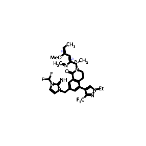 C=N/C(=C\C(=C/C)OC)[C@H](C)N1CCc2c(cc(Cn3ccn(C(F)F)c3=N)cc2-c2cn(CC)nc2C(F)(F)F)C1=O